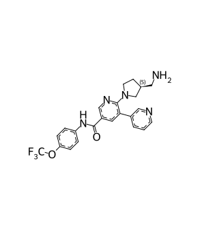 NC[C@@H]1CCN(c2ncc(C(=O)Nc3ccc(OC(F)(F)F)cc3)cc2-c2cccnc2)C1